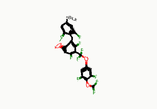 CCCCc1cc(F)c(-c2c([O])cc(F)c(C(F)(F)Oc3cc(F)c(OC(F)F)c(F)c3)c2F)c(F)c1